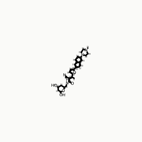 C/C(=C(/C#N)C(=O)NCC1CC(O)CC(O)O1)c1ccc(-c2ccc3cc(N4CCN(C)CC4)ccc3c2)o1